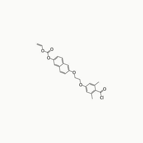 C=COC(=O)Oc1ccc2cc(OCCOc3cc(C)c(C(=O)Cl)c(C)c3)ccc2c1